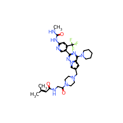 CNC(=O)Nc1cc(C(F)(F)F)c(-c2nc(N3CCCCC3)c3cc(CN4CCN(C(=O)CNC(=O)C=C(C)C)CC4)cn3n2)cn1